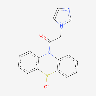 O=C(Cn1ccnc1)N1c2ccccc2[S+]([O-])c2ccccc21